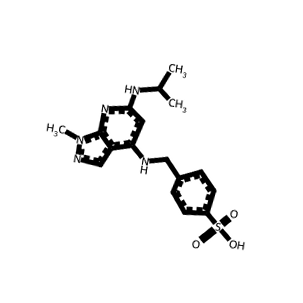 CC(C)Nc1cc(NCc2ccc(S(=O)(=O)O)cc2)c2cnn(C)c2n1